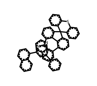 c1ccc(-c2cc(-c3cccc4ccccc34)nc(-c3cccc4c3-c3c(-c5cccc6cccnc56)cccc3C43c4ccccc4Sc4ccccc43)n2)cc1